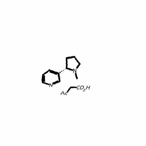 CC(=O)CC(=O)O.CN1CCC[C@H]1c1cccnc1